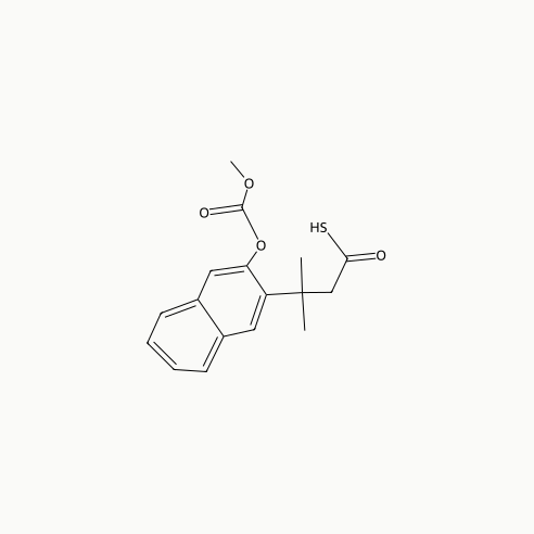 COC(=O)Oc1cc2ccccc2cc1C(C)(C)CC(=O)S